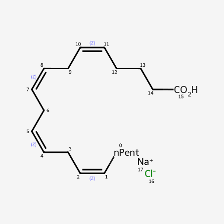 CCCCC/C=C\C/C=C\C/C=C\C/C=C\CCCC(=O)O.[Cl-].[Na+]